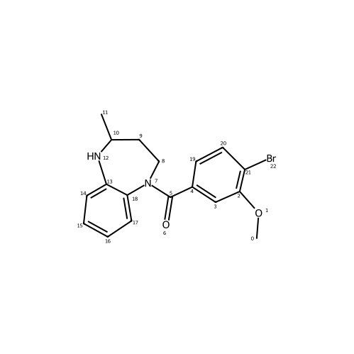 COc1cc(C(=O)N2CCC(C)Nc3ccccc32)ccc1Br